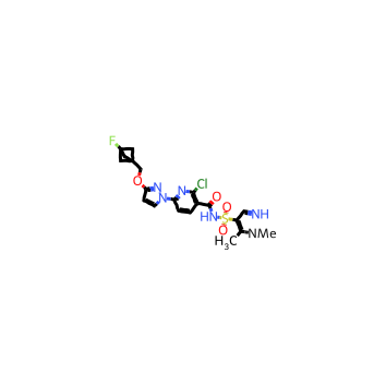 CN/C(C)=C(\C=N)S(=O)(=O)NC(=O)c1ccc(-n2ccc(OCC34CC(F)(C3)C4)n2)nc1Cl